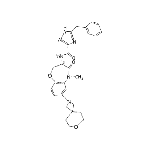 CN1C(=O)[C@@H](NC(=O)c2n[nH]c(Cc3ccccc3)n2)COc2ccc(N3CC4(CCOCC4)C3)cc21